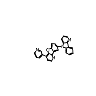 c1cncc(-c2ccnc3c2oc2ccc(-n4c5ccccc5c5ncccc54)cc23)c1